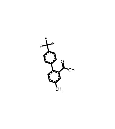 Cc1ccc(-c2ccc(C(F)(F)F)cc2)c(C(=O)O)c1